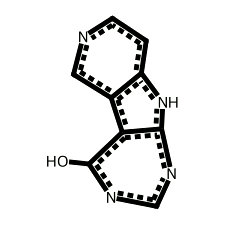 Oc1ncnc2[nH]c3ccncc3c12